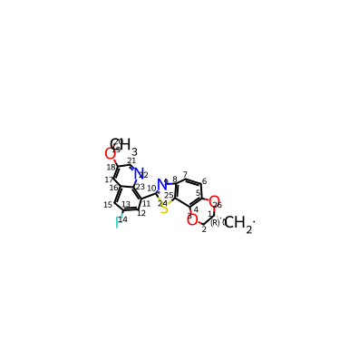 [CH2][C@@H]1COc2c(ccc3nc(-c4cc(F)cc5cc(OC)cnc45)sc23)O1